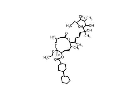 CCOC1(C)CCC(O)CC(=O)OC(/C(C)=C/C=C/C(C)(O)CC(O)C(C)C(C)C(O)CC)C(C)/C=C/C1OC(=O)N1CCC(N2CCCCC2)CC1